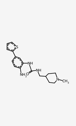 CN1CCC(CNC(=O)Nc2cc(-c3cccs3)ccc2N)CC1